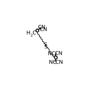 C=c1ccc(=C(C#N)C#N)cc1CCCCCCCCCSSCCCCCCCCc1cc(=C(C#N)C#N)ccc1=C(C#N)C#N